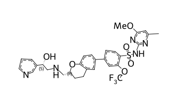 COc1cc(C)nc(NS(=O)(=O)c2ccc(-c3ccc4c(c3)CC[C@H](CNC[C@@H](O)c3cccnc3)O4)cc2OC(F)(F)F)n1